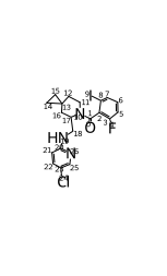 O=C(c1c(F)cccc1I)N1CCC2(CC2)CC1CNc1ccc(Cl)cn1